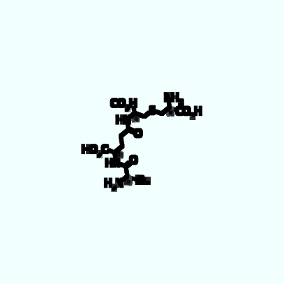 CCC(C)[C@H](N)C(=O)N[C@H](CCC(=O)N[C@H](CSC[C@H](N)C(=O)O)C(=O)O)C(=O)O